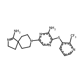 NC1=NCCC12CCN(c1cnc(Sc3cccnc3C(F)(F)F)c(N)n1)CC2